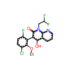 CCOc1c(Cl)ccc(F)c1-c1c(O)c2cccnc2n(CC(F)F)c1=O